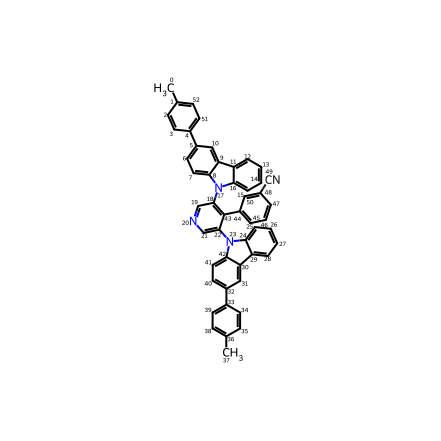 Cc1ccc(-c2ccc3c(c2)c2ccccc2n3-c2cncc(-n3c4ccccc4c4cc(-c5ccc(C)cc5)ccc43)c2-c2cccc(C#N)c2)cc1